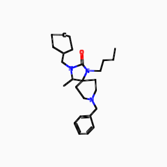 CCCCN1C(=O)N(CC2CCCCC2)C(C)C12CCN(Cc1ccccc1)CC2